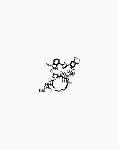 CC(C)n1c(O[C@@H]2C[C@H]3C(=O)N[C@]4(C(=O)NS(=O)(=O)N(C)C)C[C@H]4/C=C\CCCCC[C@H](NC(=O)OC(C)(C)C)C(=O)N3C2)nc2c(-c3nc(-c4ccc(F)c(C(F)(F)F)c4)cs3)cccc21